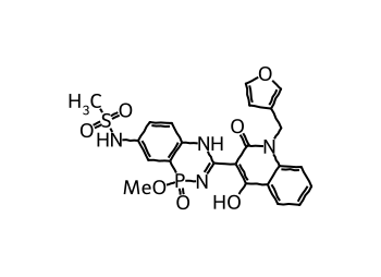 COP1(=O)N=C(c2c(O)c3ccccc3n(Cc3ccoc3)c2=O)Nc2ccc(NS(C)(=O)=O)cc21